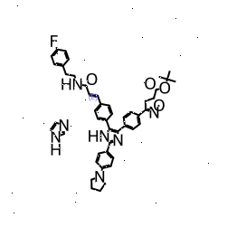 CC(C)(C)OC(=O)C1CC(c2ccc(-c3nc(-c4ccc(N5CCCC5)cc4)[nH]c3-c3ccc(/C=C/C(=O)NCCc4ccc(F)cc4)cc3)cc2)=NO1.c1c[nH]cn1